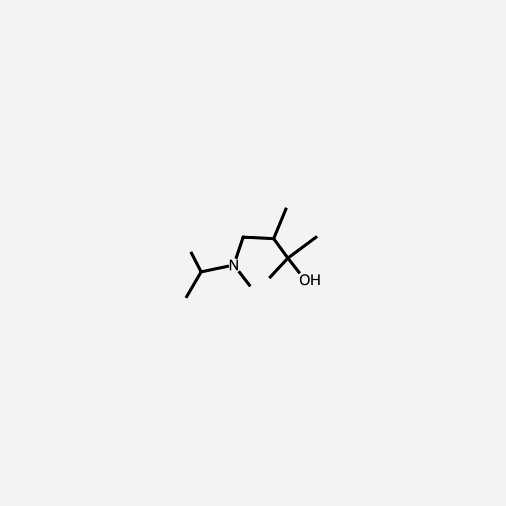 CC(C)N(C)CC(C)C(C)(C)O